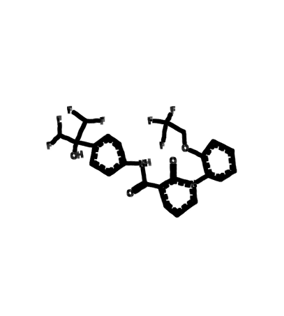 O=C(Nc1ccc(C(O)(C(F)F)C(F)F)cc1)c1cccn(-c2ccccc2OCC(F)(F)F)c1=O